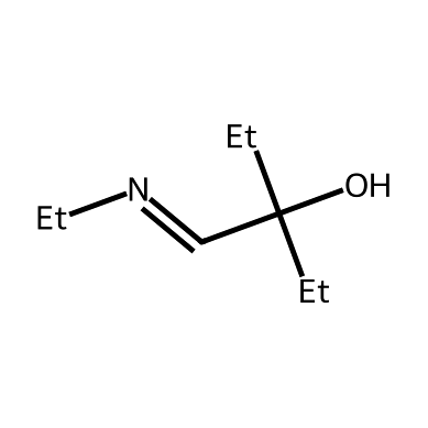 CCN=CC(O)(CC)CC